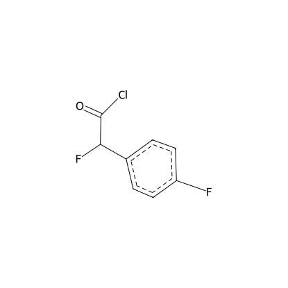 O=C(Cl)C(F)c1ccc(F)cc1